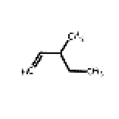 [CH]=CC([CH2])CC